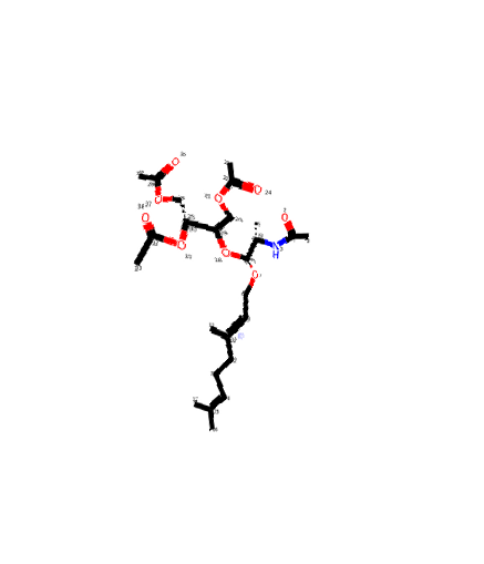 CC(=O)N[C@@H](C)[C@H](OC/C=C(\C)CCC=C(C)C)OC(COC(C)=O)[C@@H](COC(C)=O)OC(C)=O